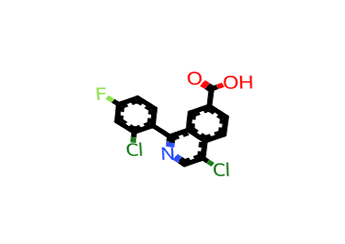 O=C(O)c1ccc2c(Cl)cnc(-c3ccc(F)cc3Cl)c2c1